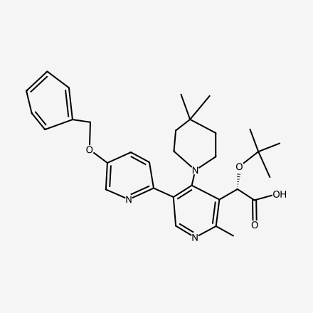 Cc1ncc(-c2ccc(OCc3ccccc3)cn2)c(N2CCC(C)(C)CC2)c1[C@H](OC(C)(C)C)C(=O)O